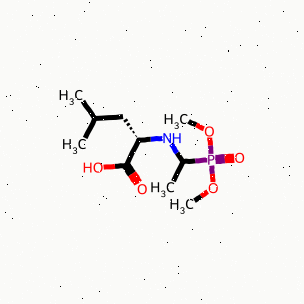 COP(=O)(OC)C(C)N[C@@H](CC(C)C)C(=O)O